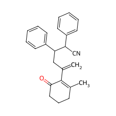 C=C(CC(c1ccccc1)C(C#N)c1ccccc1)C1=C(C)CCCC1=O